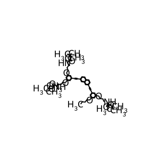 CCCCOc1cc(C#Cc2ccc3ccc(C#Cc4cc(OCCCNC(=O)OC(C)(C)C)cc(OCCCNC(=O)OC(C)(C)C)c4)cc3c2)cc(OCCCNC(=O)OC(C)(C)C)c1